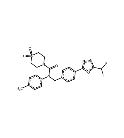 Cc1ccc(N(Cc2ccc(-c3nnc(C(F)F)o3)cc2)C(=O)N2CCS(=O)(=O)CC2)cc1